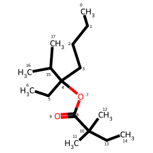 CCCCC(CC)(OC(=O)C(C)(C)CC)C(C)C